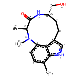 Cc1ccc2c3c(c[nH]c13)CC[C@@H](CO)NC(=O)C(C(C)C)N2C